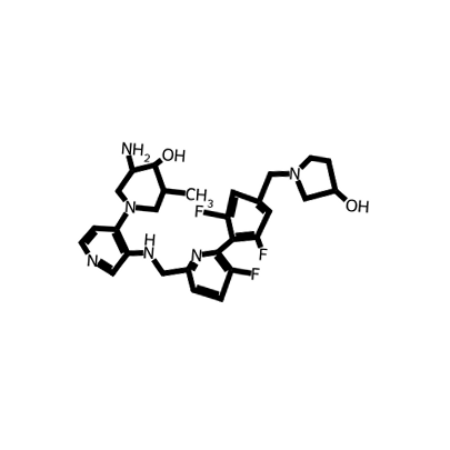 CC1CN(c2ccncc2NCc2ccc(F)c(-c3c(F)cc(CN4CCC(O)C4)cc3F)n2)CC(N)C1O